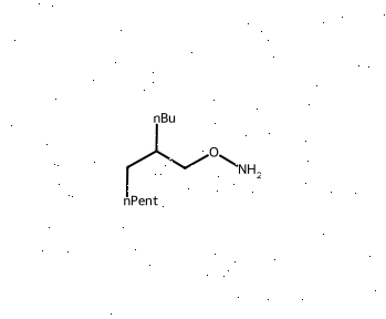 CCCCCCC(CCCC)CON